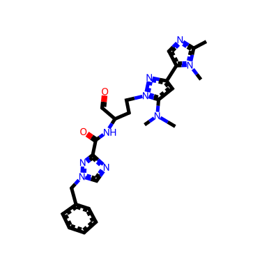 Cc1ncc(-c2cc(N(C)C)n(CCC(C=O)NC(=O)c3ncn(Cc4ccccc4)n3)n2)n1C